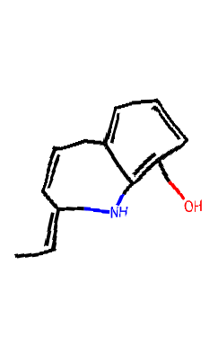 CC=C1C=Cc2cccc(O)c2N1